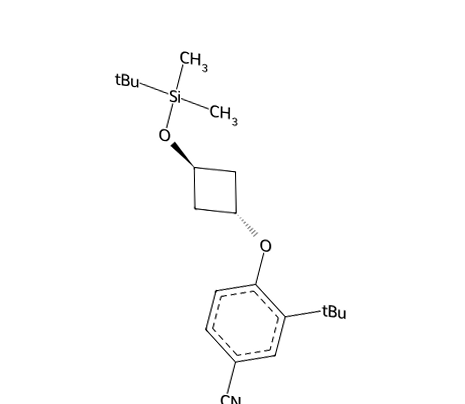 CC(C)(C)c1cc(C#N)ccc1O[C@H]1C[C@H](O[Si](C)(C)C(C)(C)C)C1